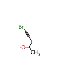 CC([O])CC#CBr